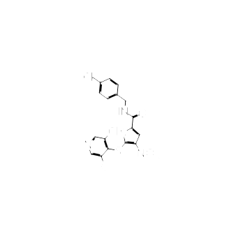 O=C(NCc1ccc(Cl)cc1)c1cc([N+](=O)[O-])c(Sc2c(Cl)cncc2Cl)s1